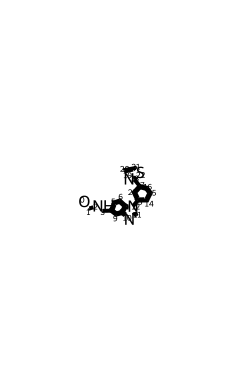 O=CNCc1ccc2c(c1)ncn2-c1cccc(-c2nccs2)c1